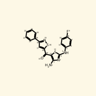 Nc1nc(Nc2ccc(F)cc2)sc1C(=O)c1cc(-c2ccccc2)ns1